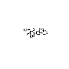 CCN(C1CCC1)[C@H](CN)C(=O)Nc1ccc(N2CCOCC2=O)c(F)c1